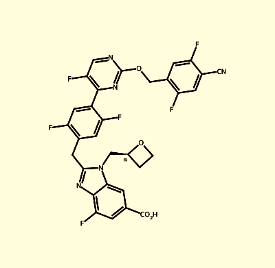 N#Cc1cc(F)c(COc2ncc(F)c(-c3cc(F)c(Cc4nc5c(F)cc(C(=O)O)cc5n4C[C@@H]4CCO4)cc3F)n2)cc1F